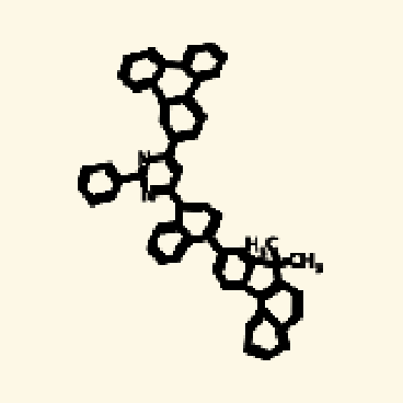 CC1(C)c2cc(-c3ccc(-c4cc(-c5ccc6c7ccccc7c7ccccc7c6c5)nc(-c5ccccc5)n4)c4ccccc34)ccc2-c2c1ccc1ccccc21